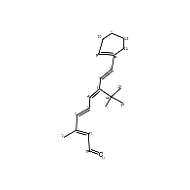 CC(C=CC=C(C=CC1=CCCCC1)C(C)(C)C)=CC=O